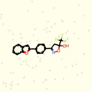 OC1(C(F)(F)F)CC(c2ccc(-c3cc4ccccc4o3)cc2)=NO1